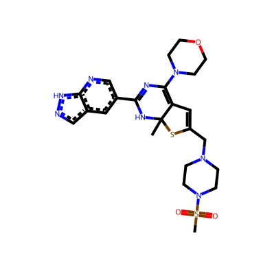 CC12NC(c3cnc4[nH]ncc4c3)=NC(N3CCOCC3)=C1C=C(CN1CCN(S(C)(=O)=O)CC1)S2